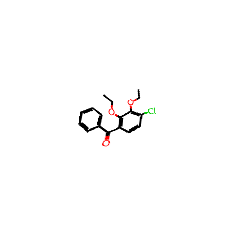 CCOc1c(Cl)ccc(C(=O)c2ccccc2)c1OCC